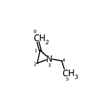 C=C1CN1CC